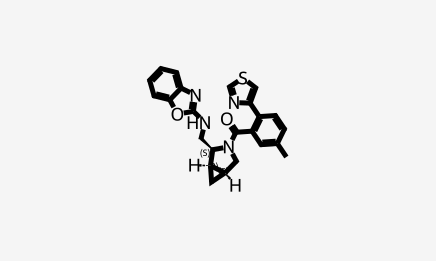 Cc1ccc(-c2cscn2)c(C(=O)N2C[C@H]3C[C@H]3[C@H]2CNc2nc3ccccc3o2)c1